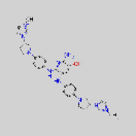 C[n+]1ccn(C2CCN(c3ccc(Nc4cc(O)c(N)nc4Nc4ccc(N5CCC(n6cc[n+](C)c6)C5)cc4)cc3)C2)c1